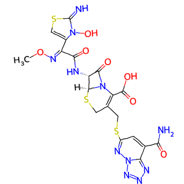 CON=C(C(=O)N[C@@H]1C(=O)N2C(C(=O)O)=C(CSc3cc(C(N)=O)c4nnnn4n3)CS[C@@H]12)c1csc(=N)n1O